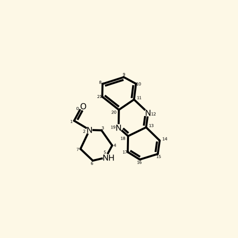 O=CN1CCNCC1.c1ccc2nc3ccccc3nc2c1